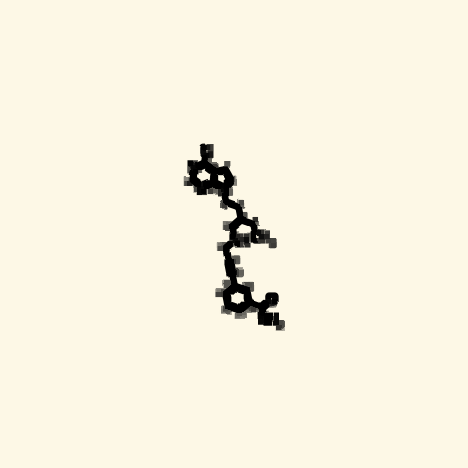 CCC(CCn1ccc2c(Cl)ncnc21)CNCC#Cc1cccc(C(N)=O)c1